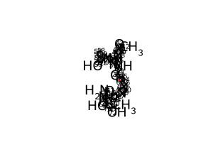 CCc1cc(-c2nnc(C(N)=O)n2-c2ccc(CN3CCN(CC4CCN(C(=O)CCNc5nc6c(c(N7CCN(C(C)=O)CC7)n5)CCN(c5cc(O)cc7ccccc57)C6)CC4)CC3)cc2)c(O)cc1O